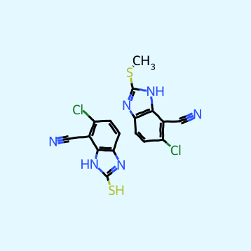 CSc1nc2ccc(Cl)c(C#N)c2[nH]1.N#Cc1c(Cl)ccc2nc(S)[nH]c12